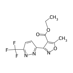 CCOC(=O)c1c(-c2ccc(C(F)(F)F)nn2)noc1C